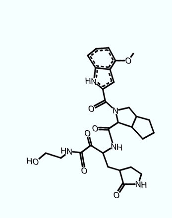 COc1cccc2[nH]c(C(=O)N3CC4CCCC4C3C(=O)NC(CC3CCNC3=O)C(=O)C(=O)NCCO)cc12